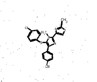 Cc1nc(-c2nc(-c3ccc(C#N)cc3)c(Sc3ccc(Cl)cc3)n2C)cs1